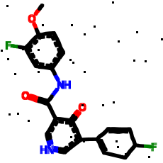 COc1ccc(NC(=O)c2c[nH]cc(C3=CCC(F)C=C3)c2=O)cc1F